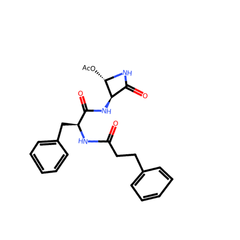 CC(=O)O[C@@H]1NC(=O)[C@H]1NC(=O)[C@H](Cc1ccccc1)NC(=O)CCc1ccccc1